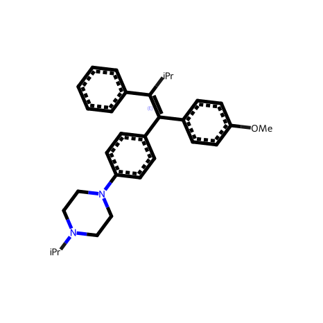 COc1ccc(/C(=C(/c2ccccc2)C(C)C)c2ccc(N3CCN(C(C)C)CC3)cc2)cc1